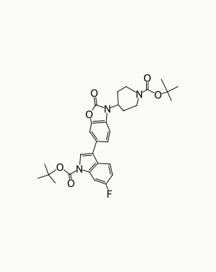 CC(C)(C)OC(=O)N1CCC(n2c(=O)oc3cc(-c4cn(C(=O)OC(C)(C)C)c5cc(F)ccc45)ccc32)CC1